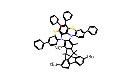 Cc1c(N2c3ccc(-c4ccccc4)cc3Sc3cc(-c4ccccc4)ccc32)c(N2c3ccc(-c4ccccc4)cc3Sc3cc(-c4ccccc4)ccc32)c(C#N)c2c1C(C)(C)C1(c3cc(C(C)(C)C)ccc3-c3ccc(C(C)(C)C)cc31)C2(C)C